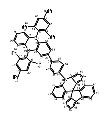 CC(C)c1cc(C(C)C)c(B2c3ccccc3B(c3c(C(C)C)cc(C(C)C)cc3C(C)C)c3cc(-c4ccc(N5c6ccccc6C6(c7ccccc7-c7ccccc76)c6ccccc65)cc4)ccc32)c(C(C)C)c1